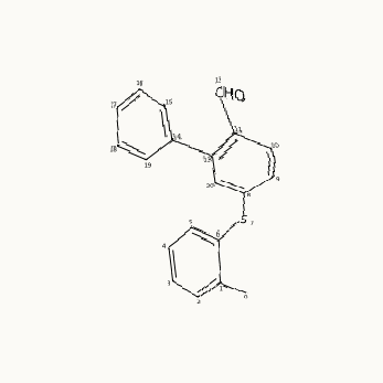 Cc1ccccc1Sc1ccc(C=O)c(-c2ccccc2)c1